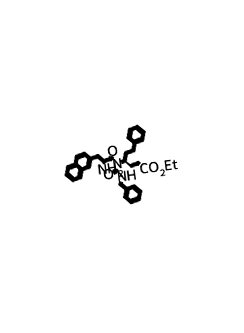 CCOC(=O)CC[C@H](CCc1ccccc1)N(C(=O)NCc1ccccc1)C(=O)[C@@H](N)Cc1ccc2ccccc2c1